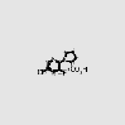 O=C(O)[C@@H]1CCCN1c1ncc(Cl)cc1F